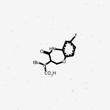 CC(C)(C)N(C(=O)O)C1COc2ccc(F)cc2NC1=O